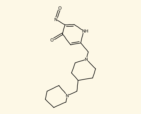 O=Nc1c[nH]c(CN2CCC(CN3CCCCC3)CC2)cc1=O